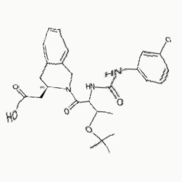 CC(OC(C)(C)C)C(NC(=O)Nc1cccc(Cl)c1)C(=O)N1Cc2ccccc2C[C@@H]1CC(=O)O